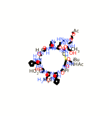 CC[C@H](C)[C@H](NC(C)=O)C(=O)N[C@H]1CSSC[C@@H](C(=O)N[C@H](C(=O)NCCOCCOCC(C)=O)[C@@H](C)O)NC(=O)[C@H](CCCNC(=N)N)NC(=O)[C@H](Cc2cnc[nH]2)NC(=O)[C@H](C)NC(=O)CNC(=O)[C@H](Cc2c[nH]c3ccccc23)NC(O)C(CC(=O)O)NC(=O)[C@H](CCC(N)=O)NC(=O)[C@H](Cc2cn(C)c3ccccc23)NC(=O)[C@H](C(C)C)NC1=O